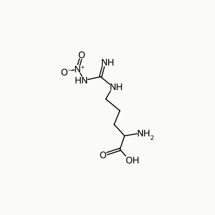 N=C(NCCCC(N)C(=O)O)N[N+](=O)[O-]